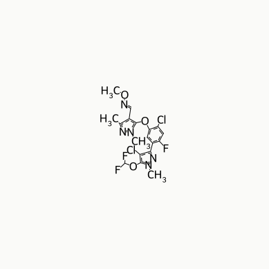 CON=Cc1c(C)nn(C)c1Oc1cc(-c2nn(C)c(OC(F)F)c2Cl)c(F)cc1Cl